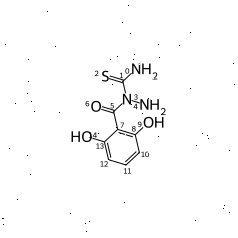 NC(=S)N(N)C(=O)c1c(O)cccc1O